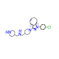 Clc1ccc(-n2nc(N3CCC(CNCC4CCNCC4)CC3)c3/c2=C\CC/C=C\C=3)cc1